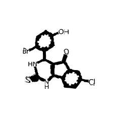 O=C1C2=C(NC(=S)NC2c2cc(O)ccc2Br)c2ccc(Cl)cc21